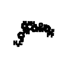 CCN1CCCC(c2nc(-c3ccc(C(=O)Nc4cc(C(F)(F)F)ccn4)cc3)c3c(N)nccn23)C1